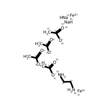 CC(=O)[O-].CC(=O)[O-].CC(=O)[O-].CC(=O)[O-].NCCN.[Fe+2].[Fe+2].[NaH].[NaH]